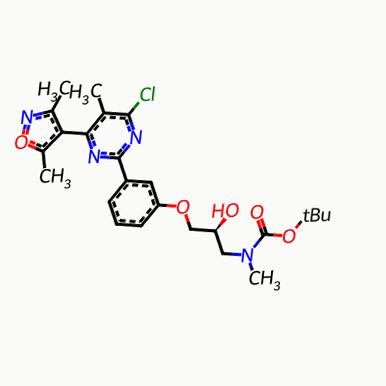 Cc1noc(C)c1-c1nc(-c2cccc(OC[C@@H](O)CN(C)C(=O)OC(C)(C)C)c2)nc(Cl)c1C